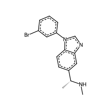 CN[C@H](C)c1ccc2c(c1)ncn2-c1cccc(Br)c1